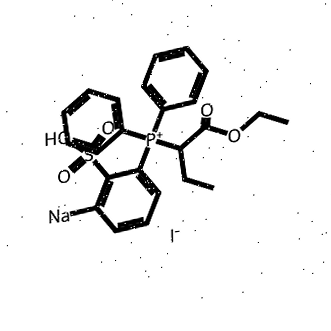 CCOC(=O)C(CC)[P+](c1ccccc1)(c1ccccc1)c1ccc[c]([Na])c1S(=O)(=O)O.[I-]